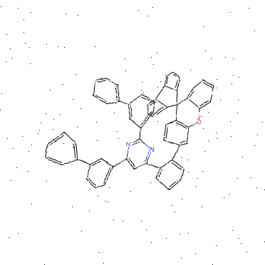 c1ccc(-c2cccc(-c3cc(-c4ccccc4-c4ccc5c(c4)Oc4ccccc4C54c5ccccc5-c5ccccc54)nc(-c4cccc(-c5ccccc5)c4)n3)c2)cc1